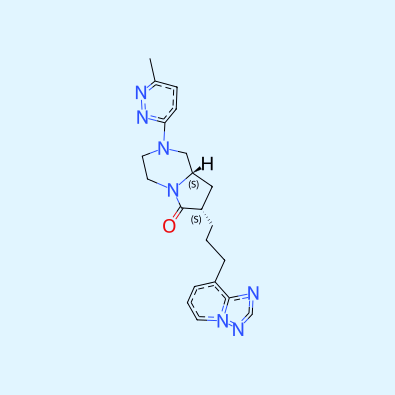 Cc1ccc(N2CCN3C(=O)[C@@H](CCCc4cccn5ncnc45)C[C@H]3C2)nn1